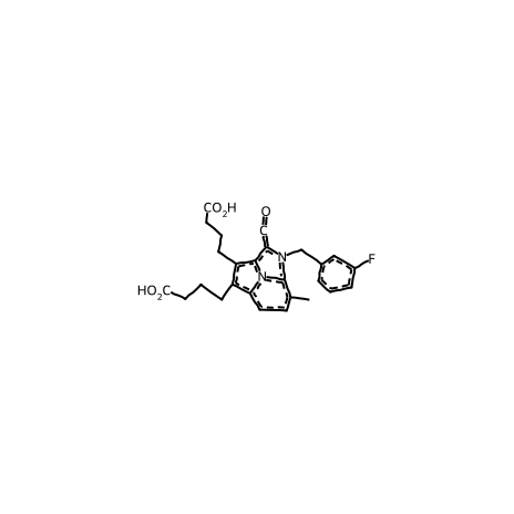 Cc1ccc2c(CCCC(=O)O)c(CCCC(=O)O)c3c(=C=O)n(Cc4cccc(F)c4)c1n23